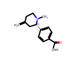 C=C1CCN(C)[C@H](c2ccc(C(=O)OC)cc2)C1